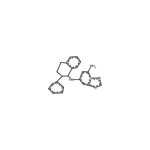 Nc1cc(NC2c3ccccc3CCC2c2ccccc2)cc2ncnn12